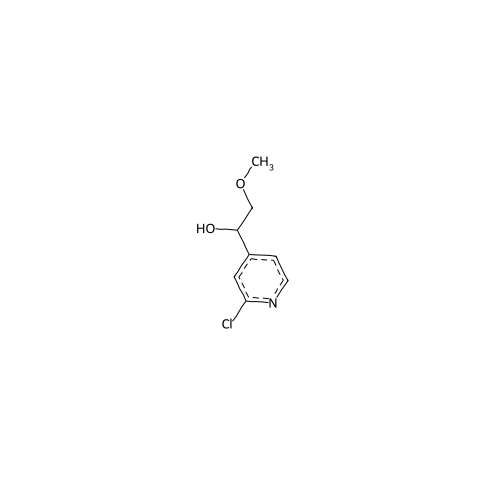 COCC(O)c1ccnc(Cl)c1